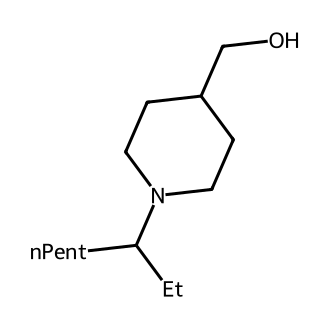 CCCCCC(CC)N1CCC(CO)CC1